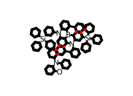 c1ccc(-c2ccccc2N2c3cc([Si](c4ccccc4)(c4ccccc4)c4ccccc4)ccc3B3c4c(-c5ccccc5)cccc4N(c4cccc([Si](c5ccccc5)(c5ccccc5)c5ccccc5)c4)c4cc(-c5cccc(N6c7ccccc7Oc7ccccc76)c5)cc2c43)cc1